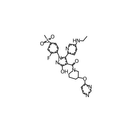 CCNc1ccc(-c2c(C(=O)N3CCCC(Oc4ccncn4)C3)c(O)nn2-c2ccc(S(C)(=O)=O)cc2F)nc1